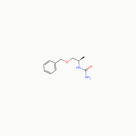 C[C@H](COCc1ccccc1)NC(N)=O